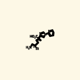 CC[C@@H](CN)CC[C@](C)(C(=O)O)c1cn(-c2ccccn2)cn1